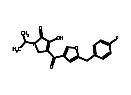 CC(C)N1CC(C(=O)c2coc(Cc3ccc(F)cc3)c2)=C(O)C1=O